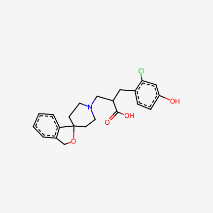 O=C(O)C(Cc1ccc(O)cc1Cl)CN1CCC2(CC1)OCc1ccccc12